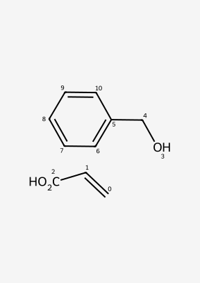 C=CC(=O)O.OCc1ccccc1